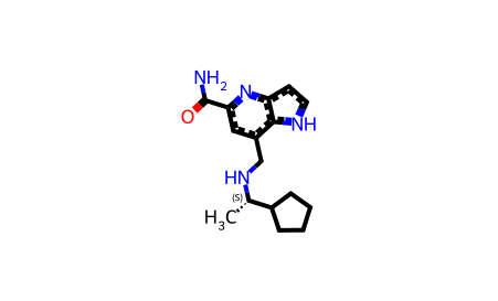 C[C@H](NCc1cc(C(N)=O)nc2cc[nH]c12)C1CCCC1